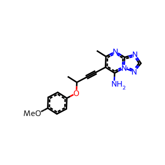 COc1ccc(OC(C)C#Cc2c(C)nc3ncnn3c2N)cc1